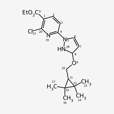 CCOC(=O)c1ccc(N2C=CC(OCC3C(C)(C)C3(C)C)N2)nc1Cl